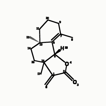 C=C1C(=O)O[C@H]2C3=C(C)CCC[C@]3(C)CCC12C